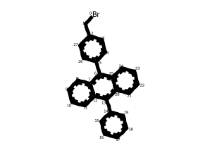 BrCc1ccc(-c2c3ccccc3c(-c3ccccc3)c3ccccc23)cc1